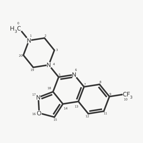 CN1CCN(c2nc3cc(C(F)(F)F)ccc3c3conc23)CC1